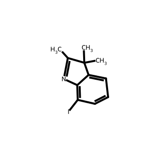 CC1=Nc2c(I)cccc2C1(C)C